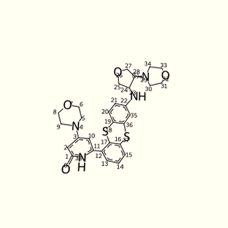 O=c1cc(N2CCOCC2)cc(-c2cccc3c2Sc2ccc(NC4COC[C@H]4N4CCOCC4)cc2S3)[nH]1